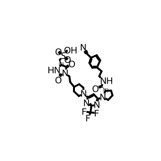 N#Cc1ccc(CCNC(=O)[C@@H]2CCCN2c2cc(N3CCC(CCN4C(=O)N[C@@H](CS(=O)(=O)O)C4=O)CC3)nc(C(F)(F)F)n2)cc1